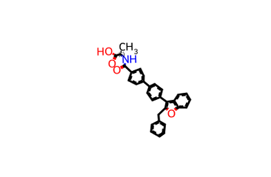 C[C@H](NC(=O)c1ccc(-c2ccc(-c3c(Cc4ccccc4)oc4ccccc34)cc2)cc1)C(=O)O